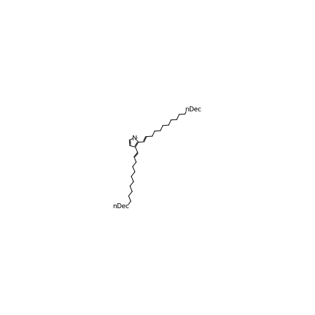 CCCCCCCCCCCCCCCCCCC/C=C/C1=C(/C=C/CCCCCCCCCCCCCCCCCCC)[N]C=C1